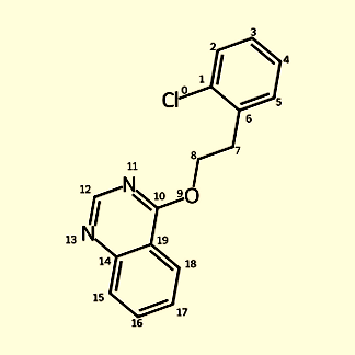 Clc1ccccc1CCOc1ncnc2ccccc12